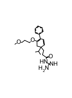 COCCCOC1=C(c2ccccc2)C=CC(CCC(=O)NC(=N)N)(C(C)C)C1